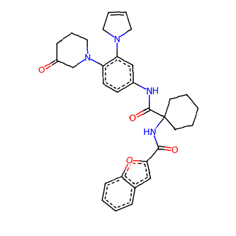 O=C1CCCN(c2ccc(NC(=O)C3(NC(=O)c4cc5ccccc5o4)CCCCC3)cc2N2CC=CC2)C1